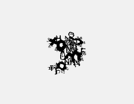 CC(C)(C)c1ccc(N(C(C(=O)NC2CCC(F)(F)CC2)c2cncc(F)c2)S(=O)(=O)N2CCCC2C(N)=O)cc1